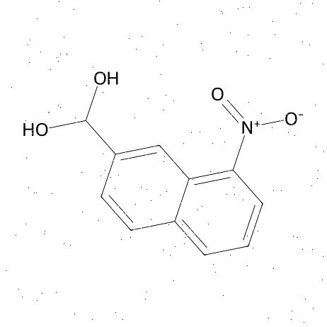 O=[N+]([O-])c1cccc2ccc(C(O)O)cc12